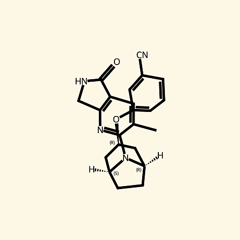 Cc1cc2c(nc1N1[C@@H]3CC[C@H]1C[C@@H](Oc1cccc(C#N)c1)C3)CNC2=O